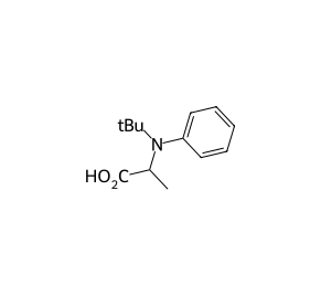 CC(C(=O)O)N(c1ccccc1)C(C)(C)C